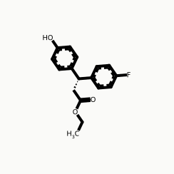 CCOC(=O)C[C@H](c1ccc(O)cc1)c1ccc(F)cc1